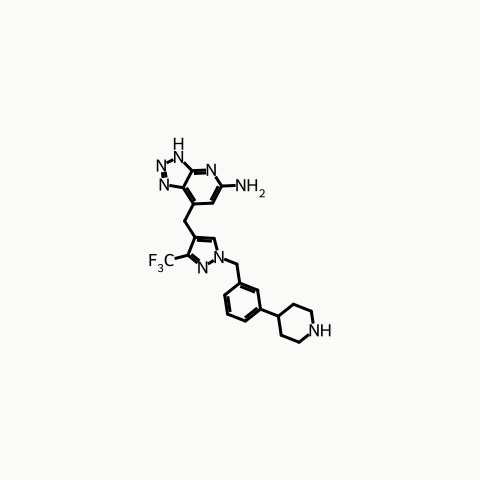 Nc1cc(Cc2cn(Cc3cccc(C4CCNCC4)c3)nc2C(F)(F)F)c2nn[nH]c2n1